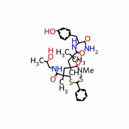 CNC(=O)C(C)(CC(C)(C)C(=O)NC(Cc1ccc(O)cc1)C(N)=O)CC(C)(CSC(=S)c1ccccc1)C(=O)NCC(C)O